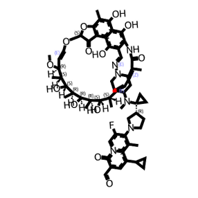 CO[C@H]1/C=C/O[C@@]2(C)Oc3c(C)c(O)c4c(O)c(c(/C=N/N5CCC(N(C)C6([C@@H]7CCN(c8c(F)cn9c(=O)c(C=O)cc(C%10CC%10)c9c8C)C7)CC6)CC5)c(O)c4c3C2=O)NC(=O)/C(C)=C\C=C\[C@H](C)[C@H](O)[C@@H](C)[C@@H](O)[C@@H](C)[C@H](O)[C@@H]1C